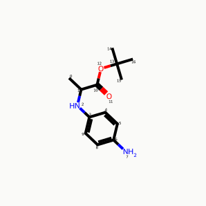 CC(Nc1ccc(N)cc1)C(=O)OC(C)(C)C